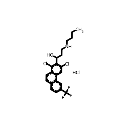 CCCCNCCC(O)c1c(Cl)cc2c(ccc3ccc(C(F)(F)F)cc32)c1Cl.Cl